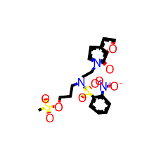 CS(=O)(=O)OCCCN(CCn1ccc2ccoc2c1=O)S(=O)(=O)c1ccccc1[N+](=O)[O-]